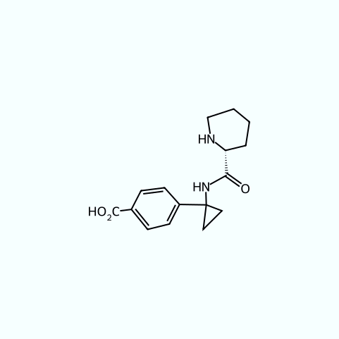 O=C(O)c1ccc(C2(NC(=O)[C@H]3CCCCN3)CC2)cc1